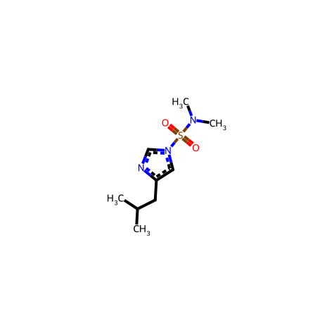 CC(C)Cc1cn(S(=O)(=O)N(C)C)cn1